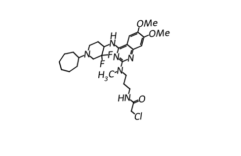 COc1cc2nc(N(C)CCCNC(=O)CCl)nc(NC3CCN(C4CCCCCC4)CC3(F)F)c2cc1OC